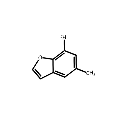 [2H]c1cc(C)cc2ccoc12